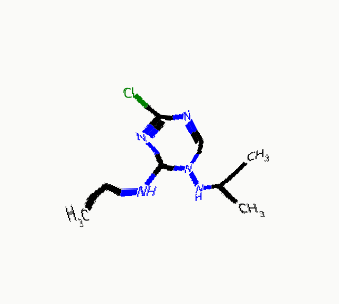 CCNC1N=C(Cl)N=CN1NC(C)C